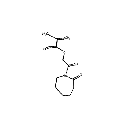 C=C(C)C(=O)OCC(=O)N1CCCCCC1=O